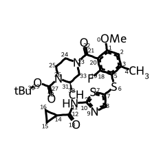 COc1cc(C)c(Sc2cnc(NC(=O)C3CC3)s2)c(F)c1C(=O)N1CCN(C(=O)OC(C)(C)C)[C@H](C)C1